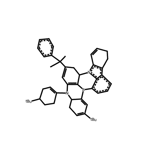 CC(C)(C)C1=CCC2C(=C1)B1C3=C(C=C(C(C)(C)c4ccccc4)CC3n3c4c(c5cccc1c53)CCC=C4)N2C1=CCC(C(C)(C)C)CC1